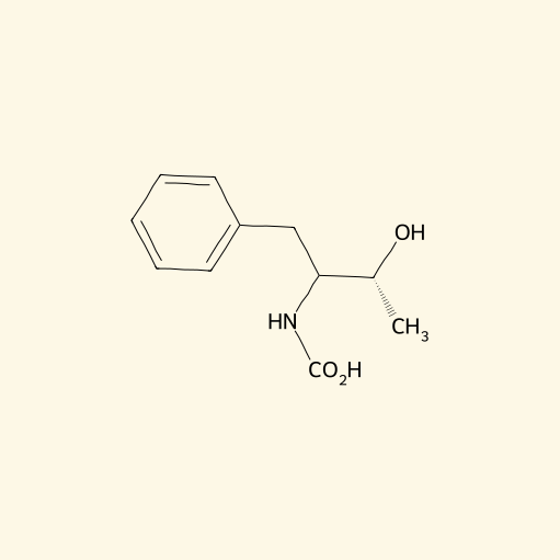 C[C@@H](O)C(Cc1ccccc1)NC(=O)O